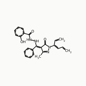 C=C/C=C(\C=C)N1N=C(C)/C(=C(/NNC(=O)c2ccccc2O)c2ccccc2)C1=O